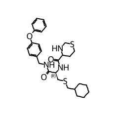 O=C(N[C@@H](CSCC1CCCCC1)C(=O)NCc1ccc(Oc2ccccc2)cc1)C1CCSCN1